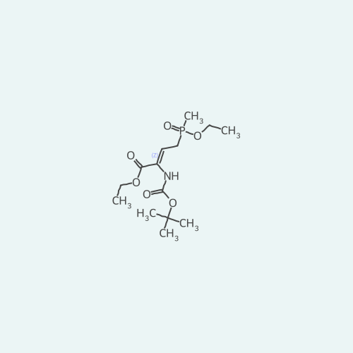 CCOC(=O)/C(=C/CP(C)(=O)OCC)NC(=O)OC(C)(C)C